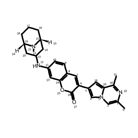 Cc1cn2cc(-c3cc4ccc(NC5C[C@H]6CCC[C@@H](C5)N6C)cc4oc3=O)cc2c(C)n1